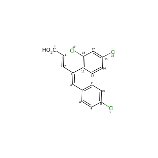 O=C(O)C=CC(=Cc1ccc(Cl)cc1)c1ccc(Cl)cc1Cl